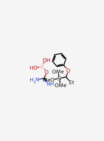 CCC(Oc1ccccc1)[Si](OC)(OC)OC.N=C(N)OB(O)O